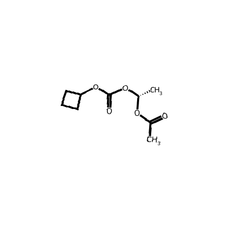 CC(=O)O[C@@H](C)OC(=O)OC1CCC1